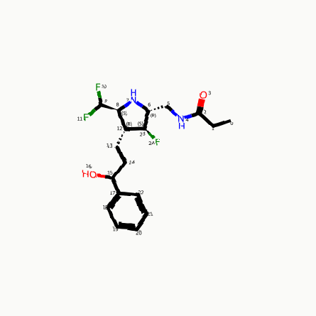 CCC(=O)NC[C@H]1N[C@H](C(F)F)[C@@H](CCC(O)c2ccccc2)[C@@H]1F